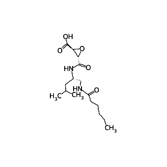 CCCCCC(=O)NC[C@H](CC(C)C)NC(=O)[C@H]1O[C@@H]1C(=O)O